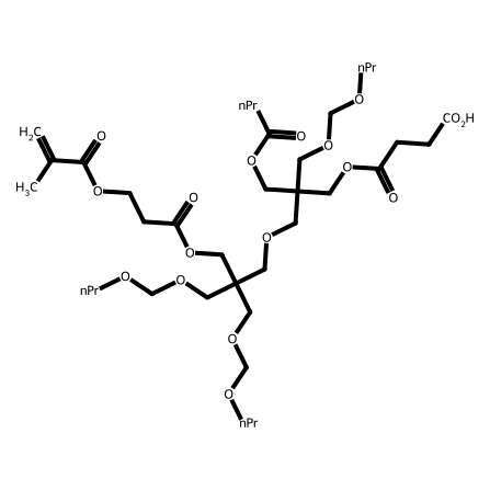 C=C(C)C(=O)OCCC(=O)OCC(COCOCCC)(COCOCCC)COCC(COCOCCC)(COC(=O)CCC)COC(=O)CCC(=O)O